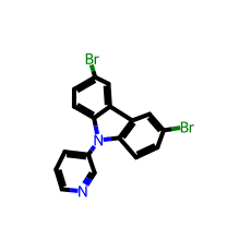 Brc1ccc2c(c1)c1cc(Br)ccc1n2-c1cccnc1